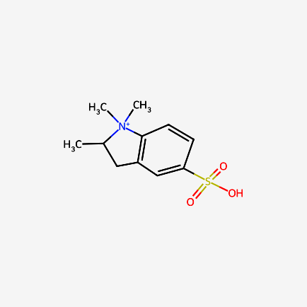 CC1Cc2cc(S(=O)(=O)O)ccc2[N+]1(C)C